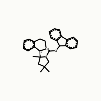 CC1(C)CN(C(=O)OC2c3ccccc3-c3ccccc32)C(C)([C@@H]2OCCc3ccccc32)C1